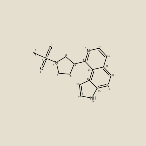 CC(C)S(=O)(=O)N1CCC(c2nccc3cnc4[nH]ccc4c23)C1